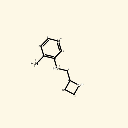 Nc1ccncc1NCC1CCO1